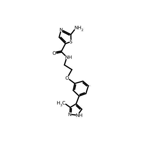 Cc1n[nH]cc1-c1c[c]cc(OCCNC(=O)c2cnc(N)s2)c1